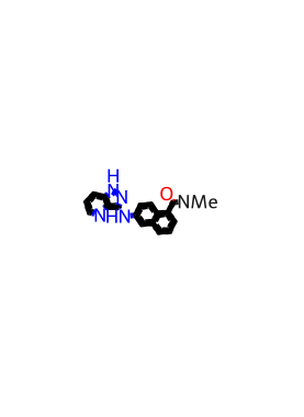 CNC(=O)c1cccc2cc(Nc3n[nH]c4cccnc34)ccc12